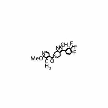 COc1nccc(C(=O)N2CCc3c(nn(C)c3-c3ccc(F)c(C(F)F)c3)C2)c1C